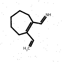 C=CC1=C(C=N)CCCCC1